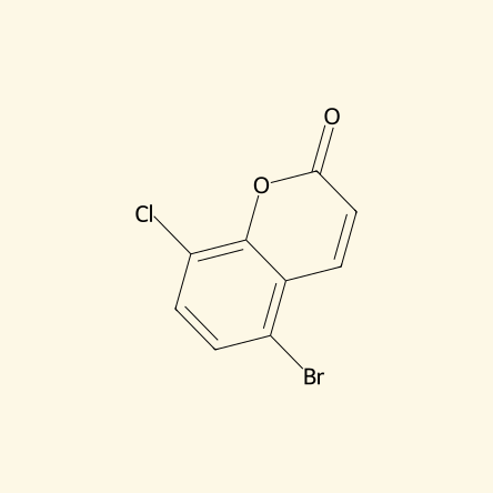 O=c1ccc2c(Br)ccc(Cl)c2o1